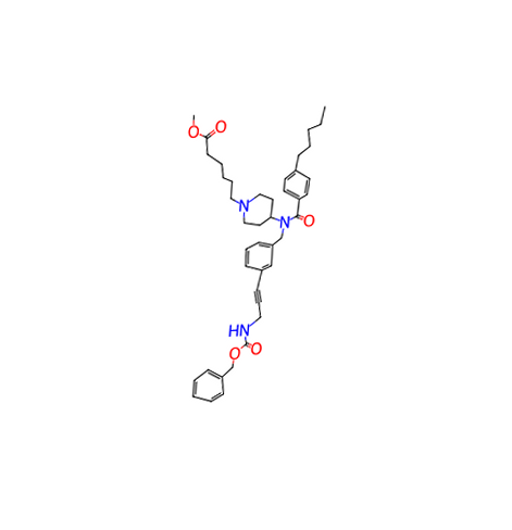 CCCCCc1ccc(C(=O)N(Cc2cccc(C#CCNC(=O)OCc3ccccc3)c2)C2CCN(CCCCCC(=O)OC)CC2)cc1